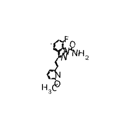 COc1cccc(C=Cc2nn(C(N)=O)c3c(F)c[c]cc23)n1